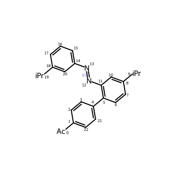 CC(=O)c1ccc(-c2ccc(C(C)C)cc2/N=N/c2cccc(C(C)C)c2)cc1